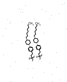 CCCCCCCC[C@H]1CC[C@H](c2ccc(CCC(F)(F)F)cc2)CC1.CCCCCCC[C@H]1CC[C@H](c2ccc(CCC(F)(F)F)cc2)CC1